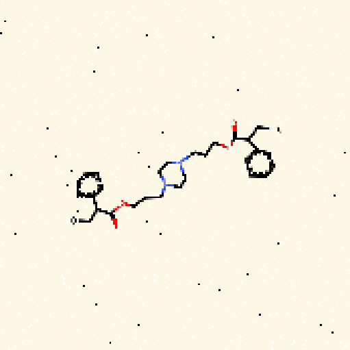 CCC(C(=O)OCCCN1CCN(CCCOC(=O)C(CC)c2ccccc2)CC1)c1ccccc1